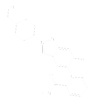 NC(=O)C1C=CC=C(C(F)(F)F)N1c1cc2cn(C3CCC(CO)CC3)nc2cc1F